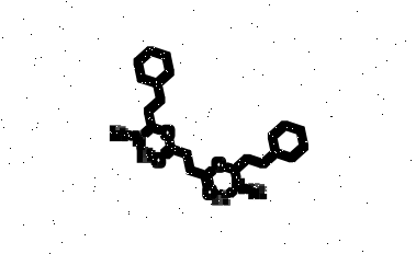 CCN(CC)C(CCC1CCCCC1)OC(=O)CCC(=O)OC(CCC1CCCCC1)N(CC)CC